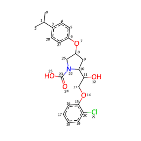 CC(C)c1ccc(OC2CC(C(O)COc3ccccc3Cl)N(C(=O)O)C2)cc1